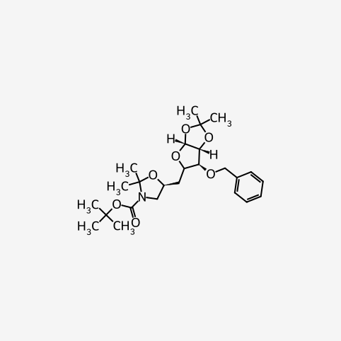 CC(C)(C)OC(=O)N1C[C@H](CC2O[C@@H]3OC(C)(C)O[C@@H]3[C@H]2OCc2ccccc2)OC1(C)C